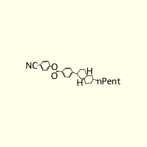 CCCCC[C@H]1CC[C@@H]2CC(c3ccc(C(=O)Oc4ccc(C#N)cc4)cc3)CC[C@H]2C1